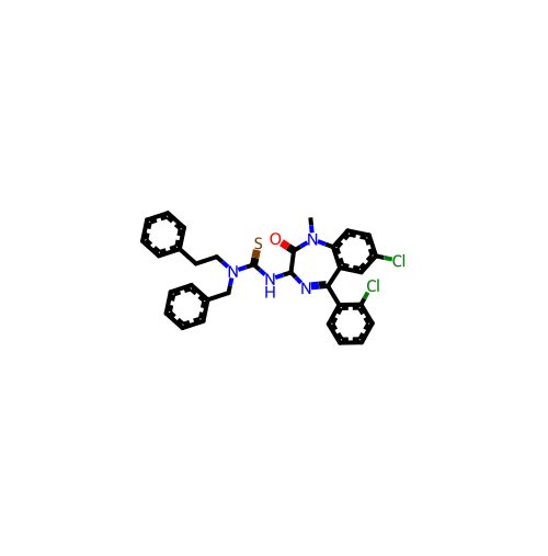 CN1C(=O)C(NC(=S)N(CCc2ccccc2)Cc2ccccc2)N=C(c2ccccc2Cl)c2cc(Cl)ccc21